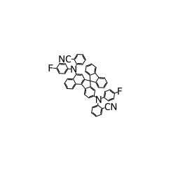 N#Cc1ccccc1N(c1ccc(F)cc1)c1ccc2c(c1)C1(c3ccccc3-c3ccccc31)c1cc(N(c3ccc(F)cc3)c3ccccc3C#N)c3ccccc3c1-2